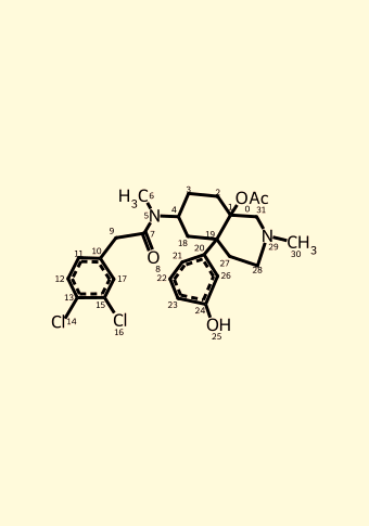 CC(=O)OC12CCC(N(C)C(=O)Cc3ccc(Cl)c(Cl)c3)CC1(c1cccc(O)c1)CCN(C)C2